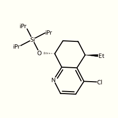 CC[C@@H]1CC[C@@H](O[Si](C(C)C)(C(C)C)C(C)C)c2nccc(Cl)c21